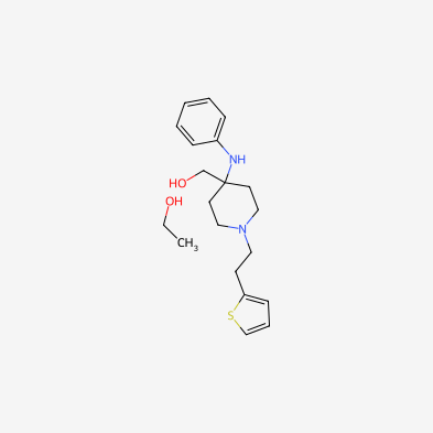 CCO.OCC1(Nc2ccccc2)CCN(CCc2cccs2)CC1